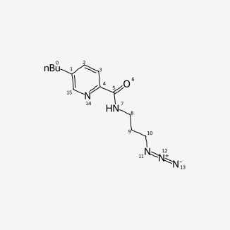 CCCCc1ccc(C(=O)NCCCN=[N+]=[N-])nc1